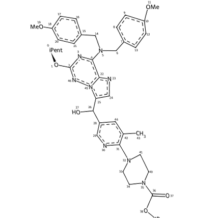 CCC[C@H](C)Oc1nc(N(Cc2ccc(OC)cc2)Cc2ccc(OC)cc2)c2ncc(C(O)c3cnc(N4CCN(C(=O)OC(C)(C)C)CC4)c(C)c3)n2n1